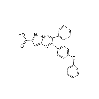 O=C(O)c1cc2nc(-c3ccc(Oc4ccccc4)cc3)c(-c3ccccc3)cn2n1